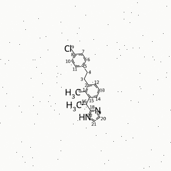 Cc1c(CCc2ccc(Cl)cc2)cccc1[C@H](C)c1ncc[nH]1